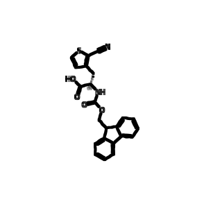 N#Cc1sccc1C[C@H](NC(=O)OCC1c2ccccc2-c2ccccc21)C(=O)O